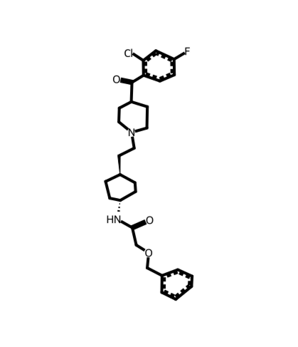 O=C(COCc1ccccc1)N[C@H]1CC[C@H](CCN2CCC(C(=O)c3ccc(F)cc3Cl)CC2)CC1